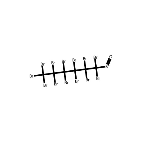 O=[S+]C(Br)(Br)C(Br)(Br)C(Br)(Br)C(Br)(Br)C(Br)(Br)C(Br)(Br)Br